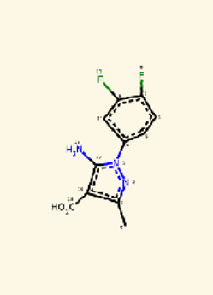 Cc1nn(-c2ccc(F)c(F)c2)c(N)c1C(=O)O